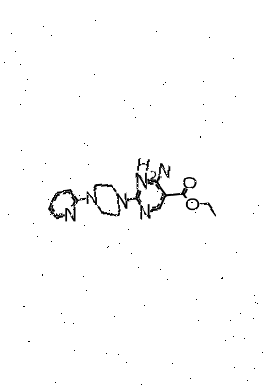 CCOC(=O)c1cnc(N2CCN(c3ccccn3)CC2)nc1N